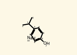 CC(C)c1ccc(O)cc1.[NaH]